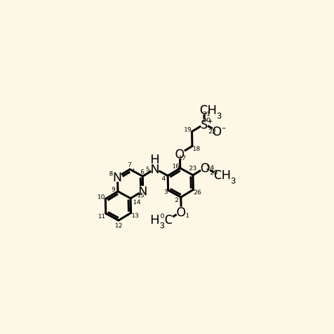 COc1cc(Nc2[c]nc3ccccc3n2)c(OCC[S+](C)[O-])c(OC)c1